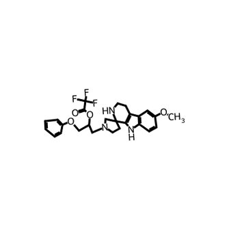 COc1ccc2[nH]c3c(c2c1)CCNC31CCN(CC(COc2ccccc2)OC(=O)C(F)(F)F)C1